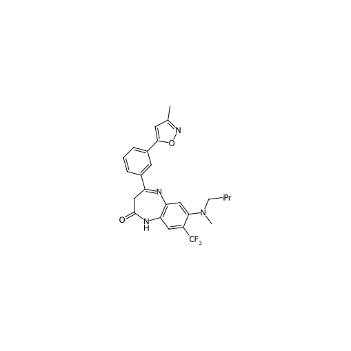 Cc1cc(-c2cccc(C3=Nc4cc(N(C)CC(C)C)c(C(F)(F)F)cc4NC(=O)C3)c2)on1